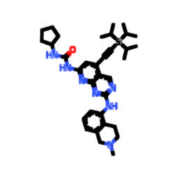 CC(C)[Si](C#Cc1cc(NC(=O)NC2CCCC2)nc2nc(Nc3cccc4c3CCN(C)C4)ncc12)(C(C)C)C(C)C